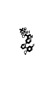 COc1ccc(F)cc1[C@H]1CCCN1c1ccn2ncc(C(=O)NS(=O)(=O)C(C)(C)C)c2c1